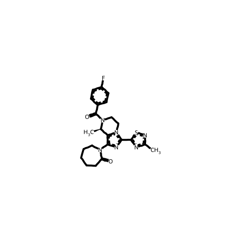 Cc1nsc(-c2nc(N3CCCCCC3=O)c3n2CCN(C(=O)c2ccc(F)cc2)[C@@H]3C)n1